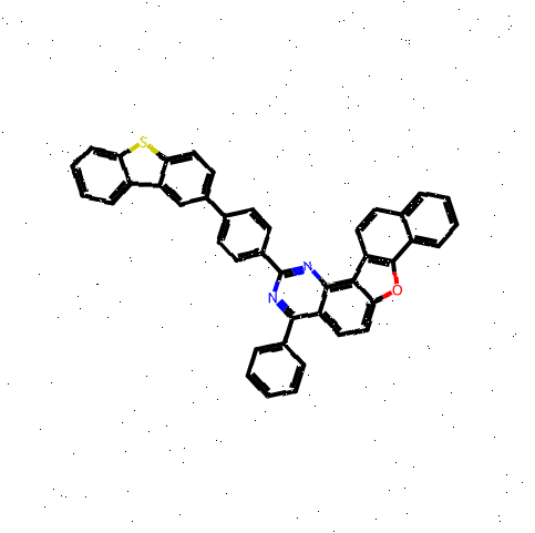 c1ccc(-c2nc(-c3ccc(-c4ccc5sc6ccccc6c5c4)cc3)nc3c2ccc2oc4c5ccccc5ccc4c23)cc1